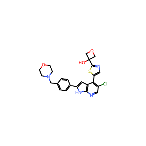 OC1(c2ncc(-c3c(Cl)cnc4[nH]c(-c5ccc(CN6CCOCC6)cc5)cc34)s2)COC1